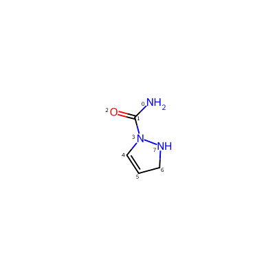 NC(=O)N1C=CCN1